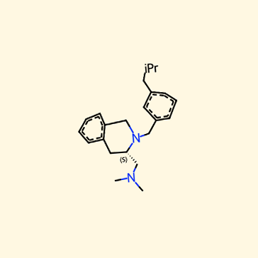 CC(C)Cc1cccc(CN2Cc3ccccc3C[C@H]2CN(C)C)c1